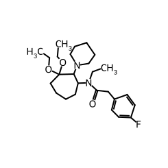 CCOC1(OCC)CCCCC(N(CC)C(=O)Cc2ccc(F)cc2)C1N1CCCCC1